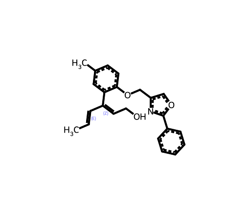 C/C=C/C(=C/CO)c1cc(C)ccc1OCc1coc(-c2ccccc2)n1